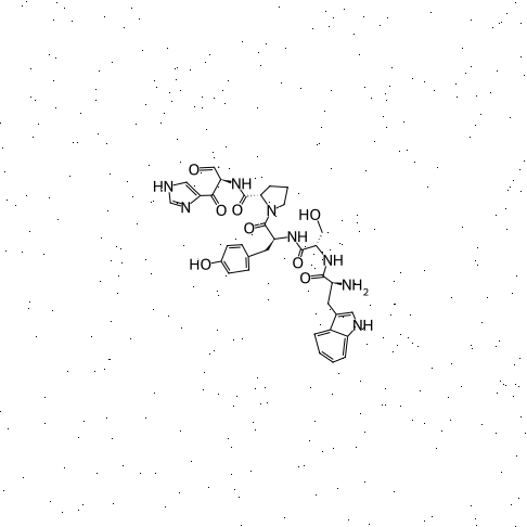 N[C@@H](Cc1c[nH]c2ccccc12)C(=O)N[C@@H](CO)C(=O)N[C@@H](Cc1ccc(O)cc1)C(=O)N1CCC[C@H]1C(=O)N[C@H]([C]=O)C(=O)c1c[nH]cn1